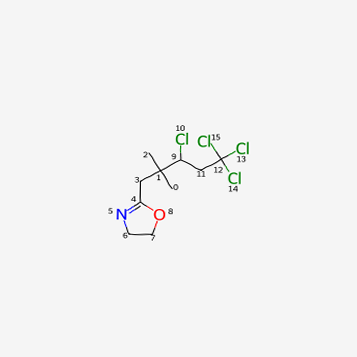 CC(C)(CC1=NCCO1)C(Cl)CC(Cl)(Cl)Cl